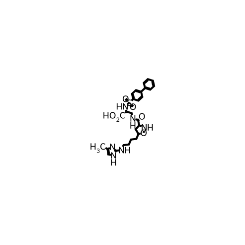 Cc1c[nH]c(NCCCCC2CC(C(=O)NCC(NS(=O)(=O)c3ccc(-c4ccccc4)cc3)C(=O)O)NO2)n1